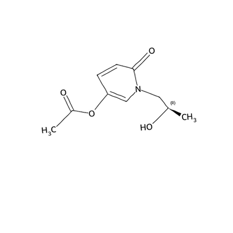 CC(=O)Oc1ccc(=O)n(C[C@@H](C)O)c1